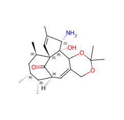 CC1=C[C@]23C(=O)[C@@H](C=C4COC(C)(C)OC4[C@]2(O)[C@H]1N)[C@H](C)[C@H](C)C[C@H]3C